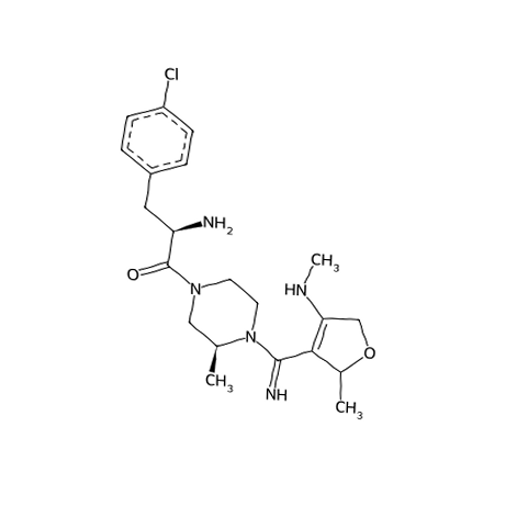 CNC1=C(C(=N)N2CCN(C(=O)[C@H](N)Cc3ccc(Cl)cc3)C[C@@H]2C)C(C)OC1